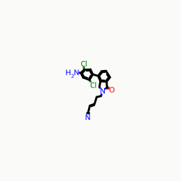 N#C/C=C/CCN1Cc2c(cccc2-c2cc(Cl)c(N)cc2Cl)C1=O